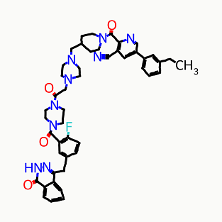 CCc1cccc(-c2cnc(C(=O)N3CCC(CN4CCN(CC(=O)N5CCN(C(=O)c6cc(Cc7n[nH]c(=O)c8ccccc78)ccc6F)CC5)CC4)CC3)c(C#N)c2)c1